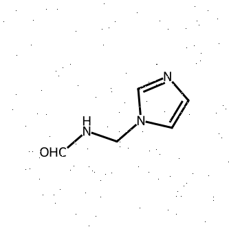 O=CNCn1ccnc1